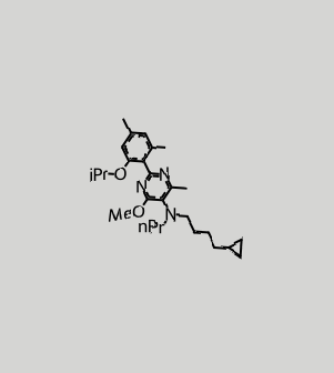 CCCN(CCCCC1CC1)c1c(C)nc(-c2c(C)cc(C)cc2OC(C)C)nc1OC